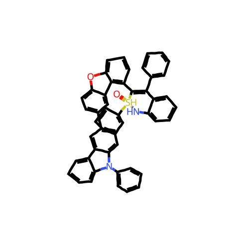 O=[SH]1(c2ccccc2)Nc2ccccc2C(c2ccccc2)=C1c1cccc2oc3ccc(-c4ccc5c(c4)c4ccccc4n5-c4ccccc4)cc3c12